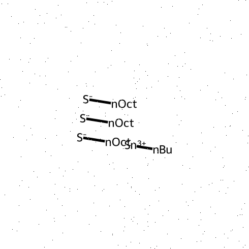 CCCCCCCC[S-].CCCCCCCC[S-].CCCCCCCC[S-].CCC[CH2][Sn+3]